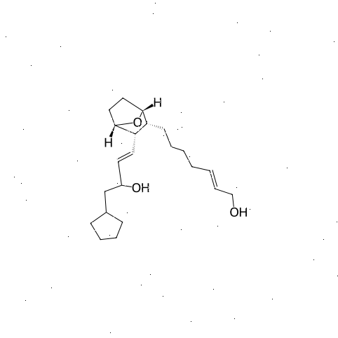 OCC=CCCCC[C@@H]1[C@H](C=CC(O)CC2CCCC2)[C@@H]2CC[C@H]1O2